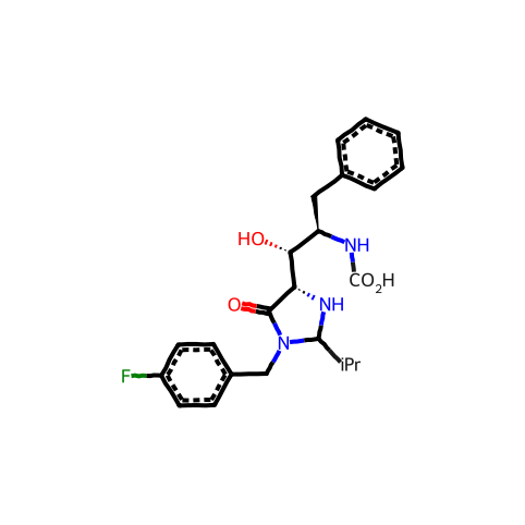 CC(C)C1N[C@@H]([C@H](O)[C@@H](Cc2ccccc2)NC(=O)O)C(=O)N1Cc1ccc(F)cc1